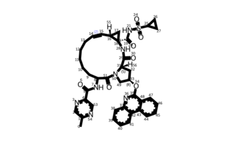 Cc1cnc(C(=O)NC2CCCCC/C=C\[C@@H]3C[C@@]3(C(=O)NS(=O)(=O)C3CC3)NC(=O)[C@@H]3C[C@@H](Oc4nc5ccccc5c5ccccc45)CN3C2=O)cn1